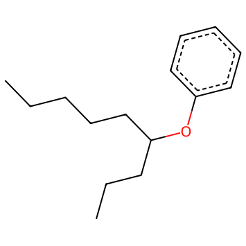 CCCCCC(CCC)Oc1ccccc1